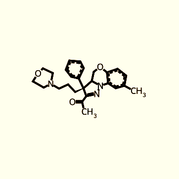 CC(=O)C1=NN2c3cc(C)ccc3OCC2[C@@]1(CCCN1CCOCC1)c1ccccc1